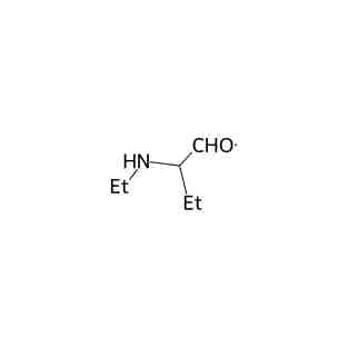 CCNC([C]=O)CC